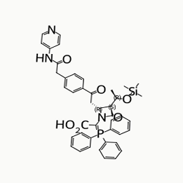 C[C@@H](O[Si](C)(C)C)[C@H]1C(=O)N(C(C(=O)O)=P(c2ccccc2)(c2ccccc2)c2ccccc2)[C@@H]1CC(=O)c1ccc(CC(=O)Nc2ccncc2)cc1